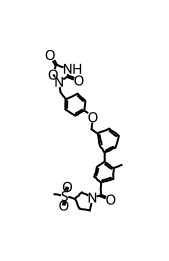 Cc1cc(C(=O)N2CCC(S(C)(=O)=O)C2)ccc1-c1cccc(COc2ccc(Cn3oc(=O)[nH]c3=O)cc2)c1